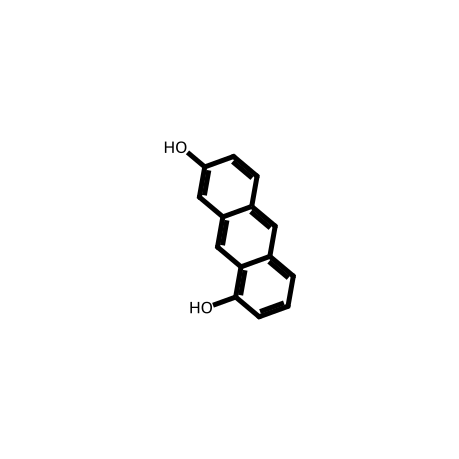 Oc1ccc2cc3cccc(O)c3cc2c1